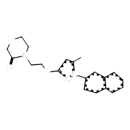 Cc1cc(OCCN2CCOCC2=O)nn1-c1ccc2ccccc2c1